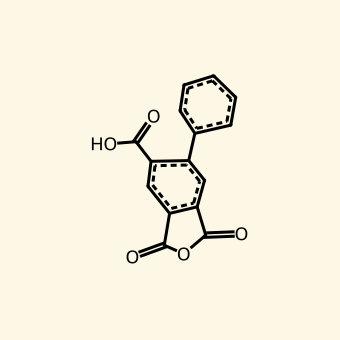 O=C1OC(=O)c2cc(-c3ccccc3)c(C(=O)O)cc21